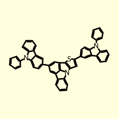 c1ccc(-n2c3ccccc3c3cc(-c4cc5c6ccccc6n6c7cc(-c8ccc9c(c8)c8ccccc8n9-c8ccccc8)sc7c(c4)c56)ccc32)cc1